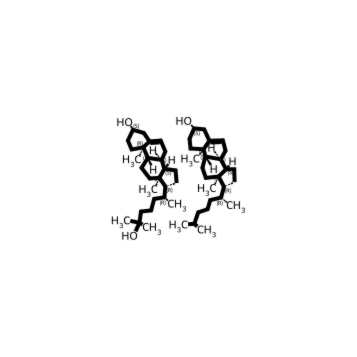 CC(C)CCC[C@@H](C)[C@H]1CC[C@H]2[C@@H]3CC=C4C[C@@H](O)CC[C@]4(C)[C@H]3CC[C@]12C.C[C@H](CCCC(C)(C)O)[C@H]1CC[C@H]2[C@@H]3CC=C4C[C@@H](O)CC[C@]4(C)[C@H]3CC[C@]12C